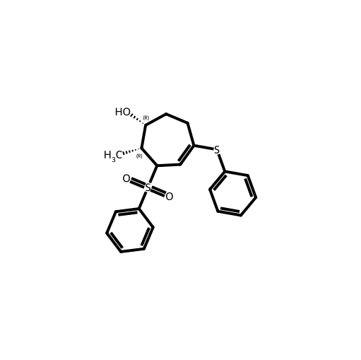 C[C@H]1C(S(=O)(=O)c2ccccc2)C=C(Sc2ccccc2)CC[C@H]1O